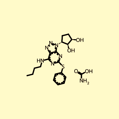 CCCCNc1nc(Sc2ccccc2)nc2c1nnn2[C@@H]1CC[C@@H](O)[C@H]1O.NC(=O)O